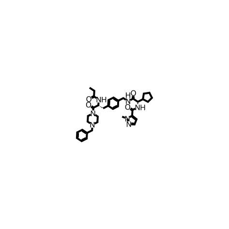 CCC(=O)N[C@H](Cc1ccc(CNC(=O)[C@@H](NC(=O)c2ccnn2C)C2CCCC2)cc1)C(=O)N1CCN(Cc2ccccc2)CC1